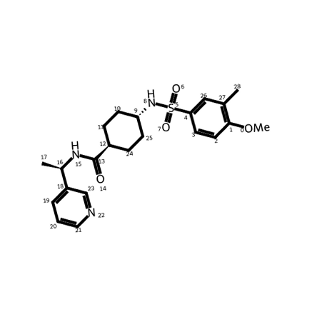 COc1ccc(S(=O)(=O)N[C@H]2CC[C@H](C(=O)N[C@H](C)c3cccnc3)CC2)cc1C